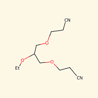 CCOC(COCCC#N)COCCC#N